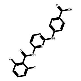 O=C(O)c1ccc(Nc2nccc(NC(=O)c3c(Cl)cccc3Cl)n2)cc1